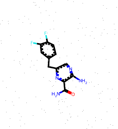 NC(=O)c1nc(Cc2ccc(F)c(F)c2)cnc1N